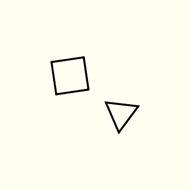 C1CC1.C1CCC1